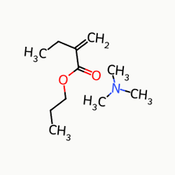 C=C(CC)C(=O)OCCC.CN(C)C